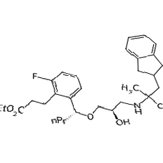 CCC[C@@H](OC[C@H](O)CNC(C)(C)CC1Cc2ccccc2C1)c1cccc(F)c1CCC(=O)OCC